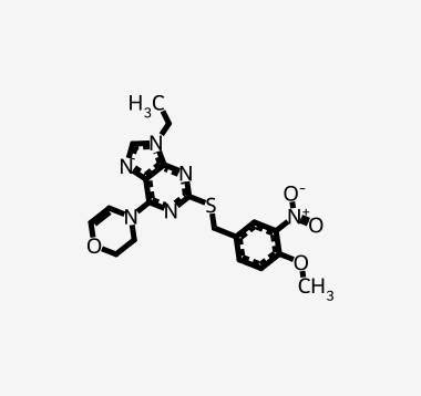 CCn1cnc2c(N3C=COCC3)nc(SCc3ccc(OC)c([N+](=O)[O-])c3)nc21